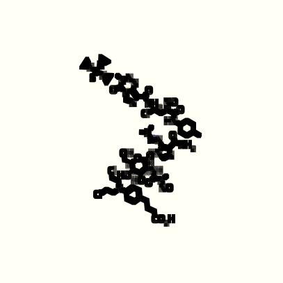 CC1CCC(NC(=O)N(CCCl)N=O)CC1.CN(C)/N=N/c1[nH]cnc1C(N)=O.CN(N=O)C(=O)N[C@@H]1[C@@H](O)[C@H](O)[C@@H](CO)O[C@@H]1O.Cn1nnc2c(C(N)=O)ncn2c1=O.O=C(O)CCCc1ccc(N(CCCl)CCCl)cc1.S=P(N1CC1)(N1CC1)N1CC1